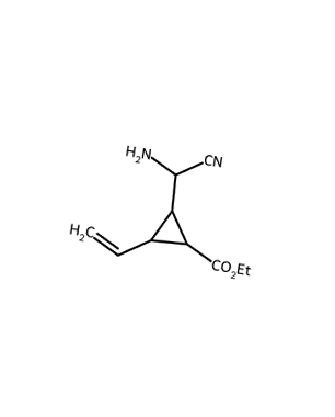 C=CC1C(C(=O)OCC)C1C(N)C#N